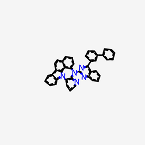 c1ccc(-c2cccc(-c3nc(-n4c5cccc6ccc7c8ccccc8n(c8cccnc84)c7c65)nc4ccccc34)c2)cc1